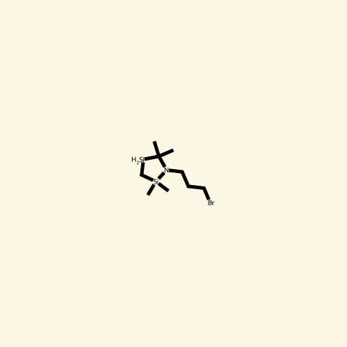 CC1(C)[SiH2]C[Si](C)(C)N1CCCBr